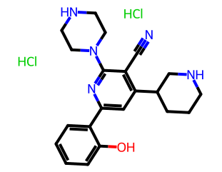 Cl.Cl.N#Cc1c(C2CCCNC2)cc(-c2ccccc2O)nc1N1CCNCC1